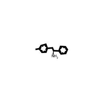 Cc1ccc(C[C@H](N)c2ccccc2)cc1